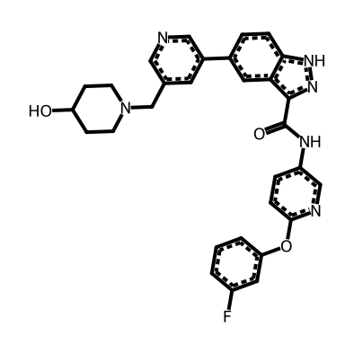 O=C(Nc1ccc(Oc2cccc(F)c2)nc1)c1n[nH]c2ccc(-c3cncc(CN4CCC(O)CC4)c3)cc12